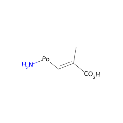 CC(=[CH][Po][NH2])C(=O)O